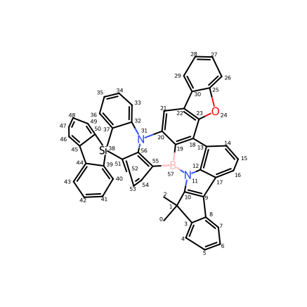 CC1(C)c2ccccc2-c2c1n1c3c(cccc23)-c2c3c(cc4c2oc2ccccc24)N2c4ccccc4[Si]4(c5ccccc5-c5ccccc54)c4cccc(c42)B31